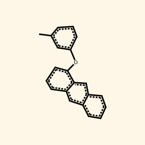 Cc1cccc(Oc2cccc3cc4ccccc4cc23)c1